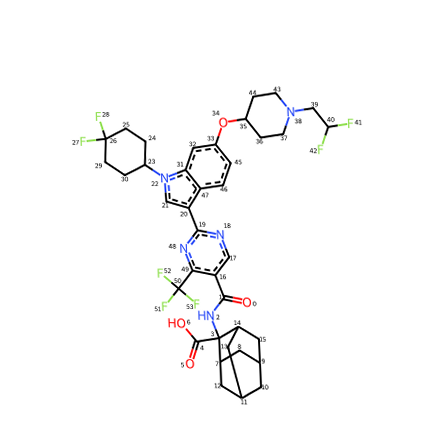 O=C(NC1(C(=O)O)C2CC3CC(C2)CC1C3)c1cnc(-c2cn(C3CCC(F)(F)CC3)c3cc(OC4CCN(CC(F)F)CC4)ccc23)nc1C(F)(F)F